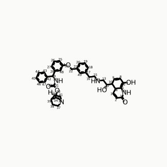 O=C1C=CC2C(=C(O)C=CC2[C@@H](O)CNCCc2cccc(COc3cccc([C@@H](NC(=O)O[C@H]4CN5CCC4CC5)c4ccccc4)c3)c2)N1